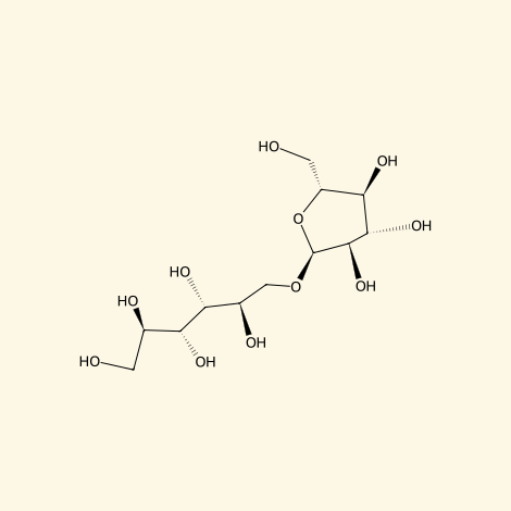 OC[C@@H](O)[C@@H](O)[C@H](O)[C@H](O)CO[C@H]1O[C@H](CO)[C@@H](O)[C@H](O)[C@H]1O